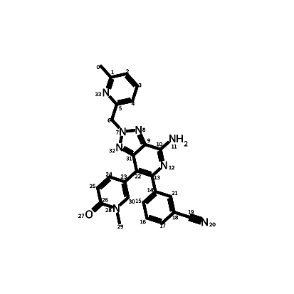 Cc1cccc(Cn2nc3c(N)nc(-c4cccc(C#N)c4)c(-c4ccc(=O)n(C)c4)c3n2)n1